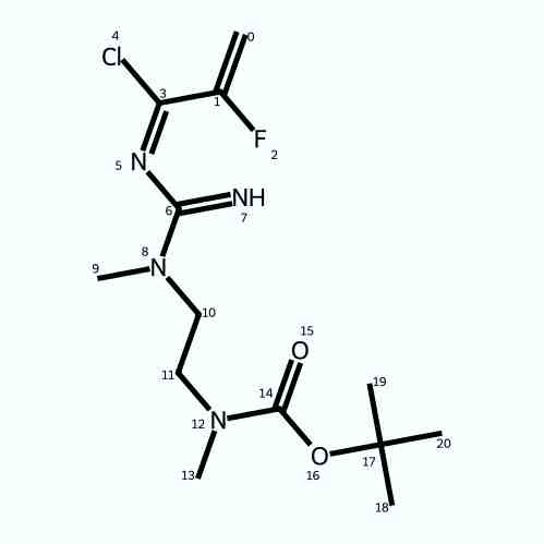 C=C(F)/C(Cl)=N\C(=N)N(C)CCN(C)C(=O)OC(C)(C)C